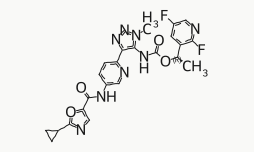 C[C@@H](OC(=O)Nc1c(-c2ccc(NC(=O)c3cnc(C4CC4)o3)cn2)nnn1C)c1cc(F)cnc1F